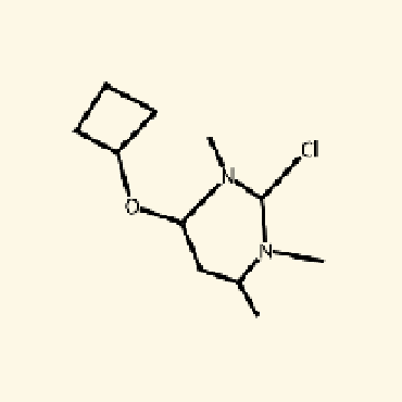 CC1CC(OC2CCC2)N(C)C(Cl)N1C